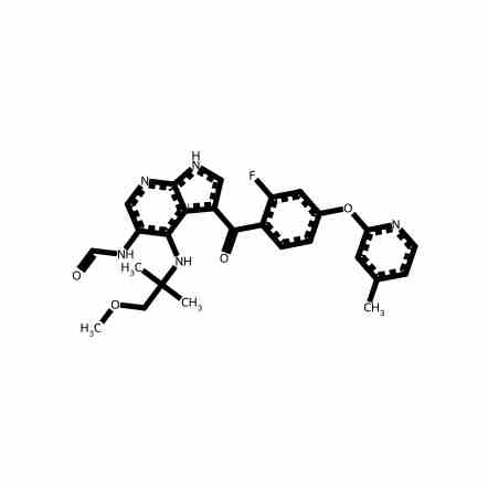 COCC(C)(C)Nc1c(NC=O)cnc2[nH]cc(C(=O)c3ccc(Oc4cc(C)ccn4)cc3F)c12